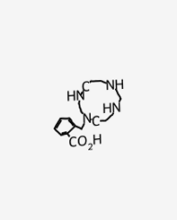 O=C(O)c1ccccc1CN1CCCNCCNCCCNCC1